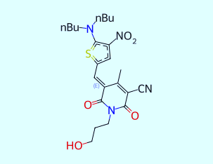 CCCCN(CCCC)c1sc(/C=C2/C(=O)N(CCCO)C(=O)C(C#N)=C2C)cc1[N+](=O)[O-]